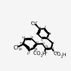 O=C(O)C(Cc1ccc(Cl)cc1)=C(Cc1ccc(Cl)cc1)C(=O)O